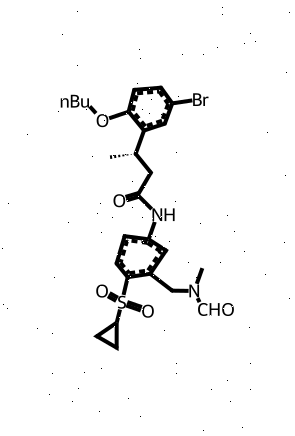 CCCCOc1ccc(Br)cc1[C@@H](C)CC(=O)Nc1ccc(S(=O)(=O)C2CC2)c(CN(C)C=O)c1